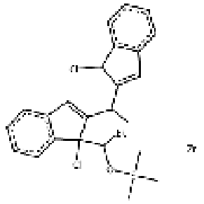 CCC(O[Si](C)(C)C)C1(Cl)C(C(C)C2=Cc3ccccc3C2Cl)=Cc2ccccc21.[Zr]